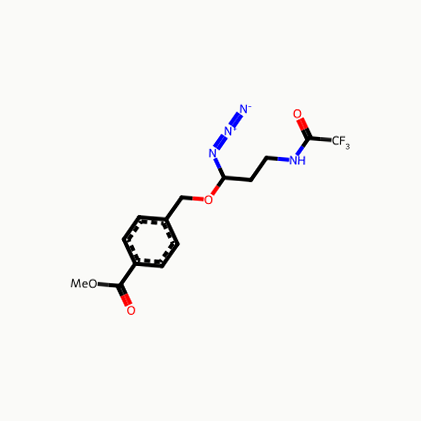 COC(=O)c1ccc(COC(CCNC(=O)C(F)(F)F)N=[N+]=[N-])cc1